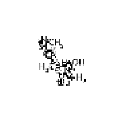 Cc1ncsc1-c1ccc([C@H](C)NC(=O)[C@@H]2C[C@@H](O)CN2C(=O)C(N)C(C)(C)C)nc1